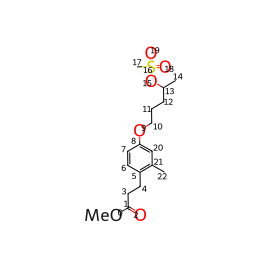 COC(=O)CCc1ccc(OCCCC(C)OS(C)(=O)=O)cc1C